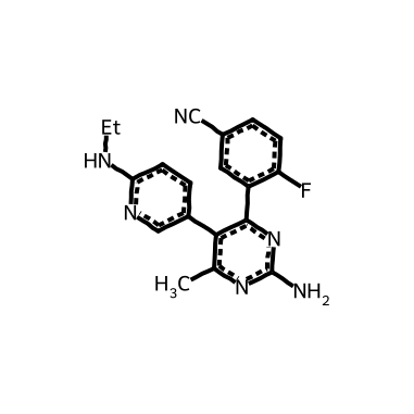 CCNc1ccc(-c2c(C)nc(N)nc2-c2cc(C#N)ccc2F)cn1